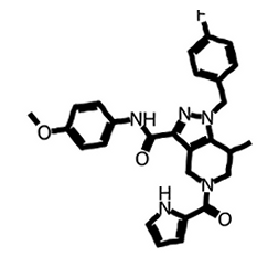 COc1ccc(NC(=O)c2nn(Cc3ccc(F)cc3)c3c2CN(C(=O)c2ccc[nH]2)CC3C)cc1